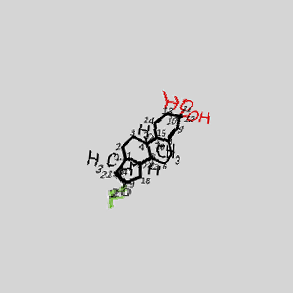 C[C@]12CC[C@H]3[C@@H](CCC4=CC(O)(O)CC[C@@]43C)[C@@H]1C[C@@H](F)C2